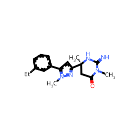 CCc1cccc(-c2cc([C@]3(C)CC(=O)N(C)C(=N)N3)nn2C)c1